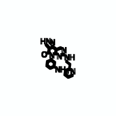 Nc1cccc(-n2c(=O)c3c[nH]nc3c3cnc(NCCc4ccccn4)nc32)c1